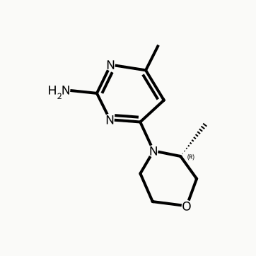 Cc1cc(N2CCOC[C@H]2C)nc(N)n1